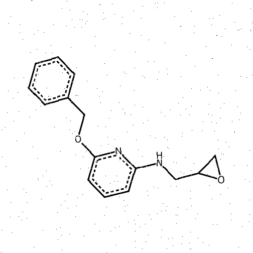 c1ccc(COc2cccc(NCC3CO3)n2)cc1